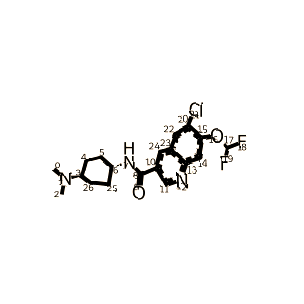 CN(C)[C@H]1CC[C@H](NC(=O)c2cnc3cc(OC(F)F)c(Cl)cc3c2)CC1